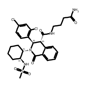 CS(=O)(=O)N[C@H]1CCCC[C@@H]1N1C(=O)c2ccccc2[C@@H](C(=O)NCCCC(N)=O)[C@@H]1c1ccc(Cl)cc1Cl